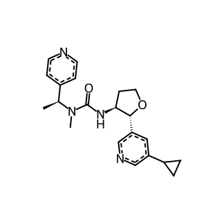 C[C@@H](c1ccncc1)N(C)C(=O)N[C@H]1CCO[C@@H]1c1cncc(C2CC2)c1